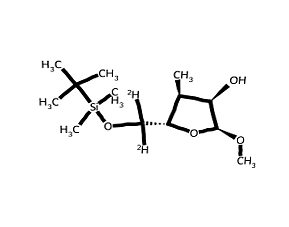 [2H]C([2H])(O[Si](C)(C)C(C)(C)C)[C@H]1O[C@H](OC)[C@H](O)[C@@H]1C